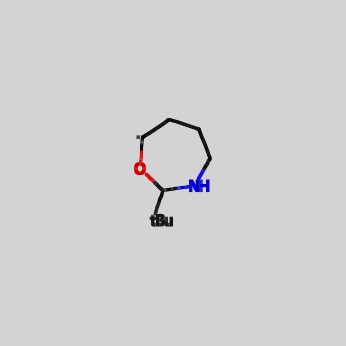 CC(C)(C)C1NCCC[CH]O1